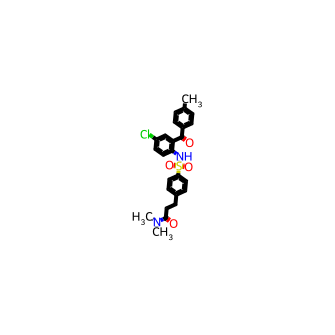 Cc1ccc(C(=O)c2cc(Cl)ccc2NS(=O)(=O)c2ccc(CCC(=O)N(C)C)cc2)cc1